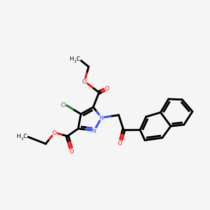 CCOC(=O)c1nn(CC(=O)c2ccc3ccccc3c2)c(C(=O)OCC)c1Cl